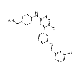 NC[C@H]1CC[C@H](Nc2cc(-c3cccc(OCc4cccc(Cl)c4)c3)c(Cl)cn2)CC1